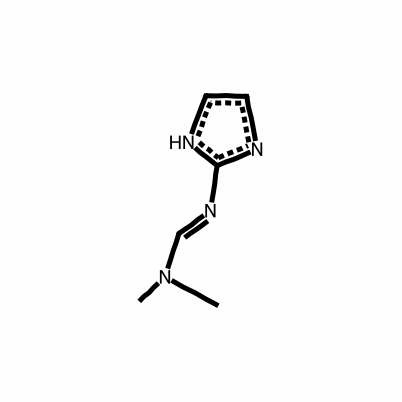 CN(C)C=Nc1ncc[nH]1